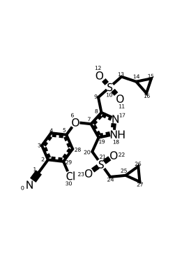 N#Cc1ccc(Oc2c(CS(=O)(=O)CC3CC3)n[nH]c2CS(=O)(=O)CC2CC2)cc1Cl